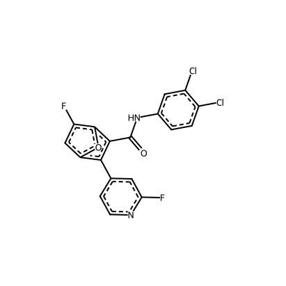 O=C(Nc1ccc(Cl)c(Cl)c1)c1c(-c2ccnc(F)c2)c2cc(F)c1o2